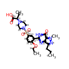 CCCc1nn(C)c2c(=O)[nH]c(-c3cc(S(=O)(=O)N4CCN(C(CC)C(=O)O)CC4)ccc3OCC)nc12